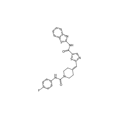 O=C(Nc1nc2ccccc2s1)c1cnc(C=C2CCN(C(=O)Nc3ccc(F)cc3)CC2)s1